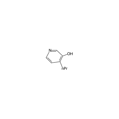 CCCc1ccncc1O